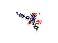 N#Cc1ncc(-c2ccc(N3C(=O)[C@H](SC[C@@H](O)c4ccc(F)cc4)[C@H]3c3ccc(O)cc3)cc2)cn1